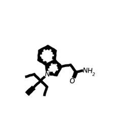 C#CC(CC)(CC)n1cc(CC(N)=O)c2ccccc21